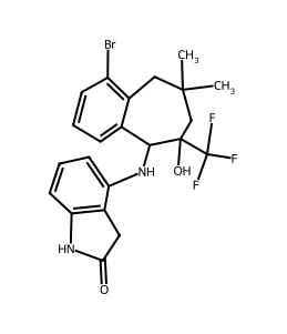 CC1(C)Cc2c(Br)cccc2C(Nc2cccc3c2CC(=O)N3)C(O)(C(F)(F)F)C1